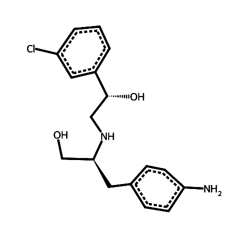 Nc1ccc(C[C@@H](CO)NC[C@@H](O)c2cccc(Cl)c2)cc1